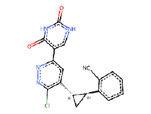 N#Cc1ccccc1[C@H]1C[C@@H]1c1cc(-c2c[nH]c(=O)[nH]c2=O)nnc1Cl